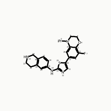 CC(C)N1CCOc2c(F)cc(-c3cnc(Nc4ccc5c(c4)CCNC5)s3)cc21